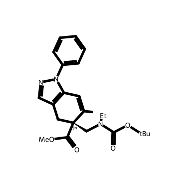 CCN(C[C@@]1(C(=O)OC)Cc2cnn(-c3ccccc3)c2C=C1C)C(=O)OC(C)(C)C